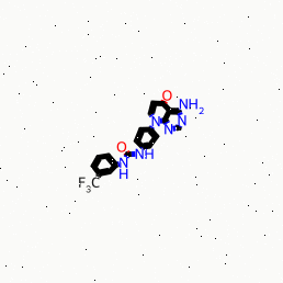 Nc1ncnc2c1c(=O)ccn2-c1ccc(NC(=O)Nc2cccc(C(F)(F)F)c2)cc1